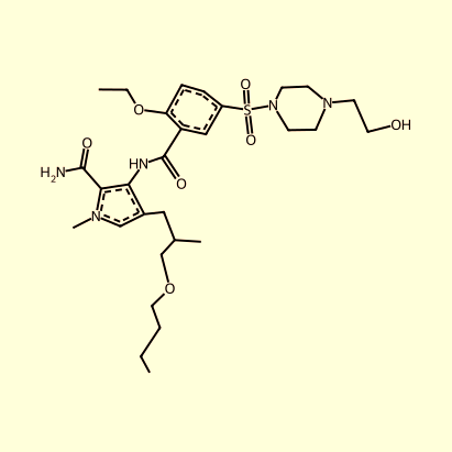 CCCCOCC(C)Cc1cn(C)c(C(N)=O)c1NC(=O)c1cc(S(=O)(=O)N2CCN(CCO)CC2)ccc1OCC